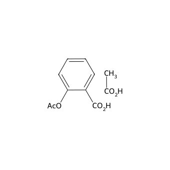 CC(=O)O.CC(=O)Oc1ccccc1C(=O)O